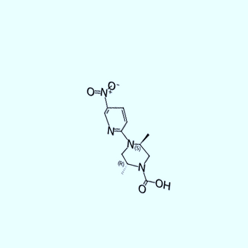 C[C@@H]1CN(c2ccc([N+](=O)[O-])cn2)[C@@H](C)CN1C(=O)O